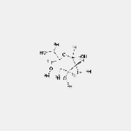 [2H]O[C@@]1([2H])[C@@]([2H])(O[2H])[C@@]([2H])(C([2H])O)OC([2H])(O)[C@]1([2H])O[2H]